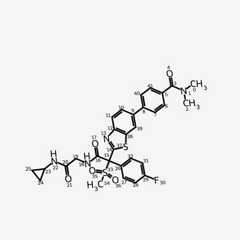 CN(C)C(=O)c1ccc(-c2ccc3nc(C(C(=O)NCC(=O)NC4CC4)(c4ccc(F)cc4)S(C)(=O)=O)sc3c2)cc1